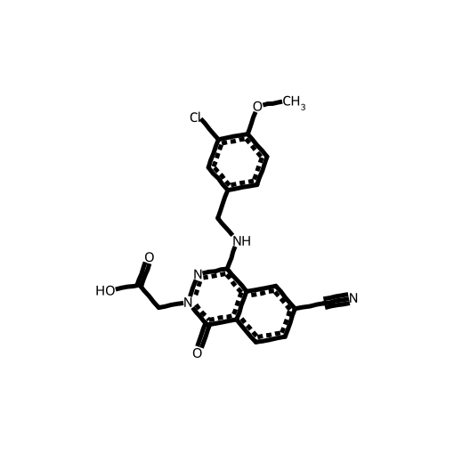 COc1ccc(CNc2nn(CC(=O)O)c(=O)c3ccc(C#N)cc23)cc1Cl